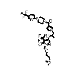 CC(Cn1ccc(C(=O)N2CCN(c3ccc(C(F)(F)F)cn3)CC2)c1)Nc1cnn(COCC[Si](C)(C)C)c(=O)c1C(F)(F)F